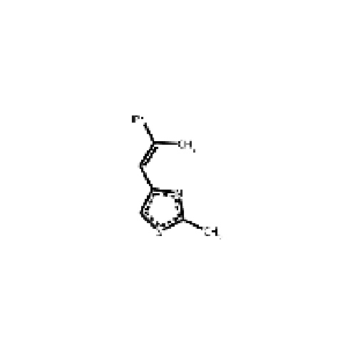 C/C(=C\c1csc(C)n1)C(C)C